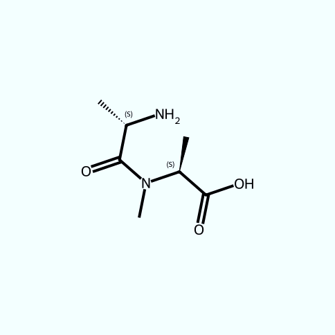 C[C@H](N)C(=O)N(C)[C@@H](C)C(=O)O